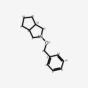 c1ccc(CON2CC3CCCC3C2)cc1